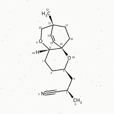 C[C@@H](C#N)C[C@H]1CC[C@@H]2OC[C@@]3(C)C=C[C@@]2(CC3)O1